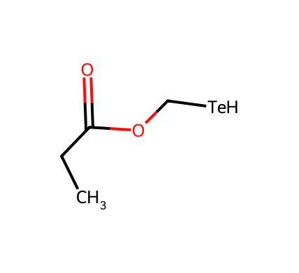 CCC(=O)OC[TeH]